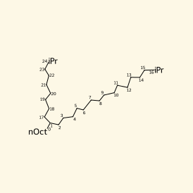 CCCCCCCCC(CCCCCCCCCCCCCCC(C)C)CCCCCCCC(C)C